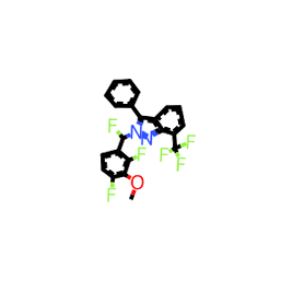 COc1c(F)ccc(C(F)n2nc3c(C(F)(F)F)cccc3c2-c2ccccc2)c1F